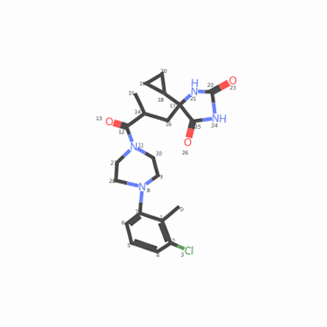 Cc1c(Cl)cccc1N1CCN(C(=O)C(C)CC2(C3CC3)NC(=O)NC2=O)CC1